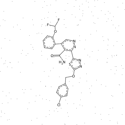 NC(=O)c1c(-c2ccccc2OC(F)F)cnnc1-c1nnc(OCc2ccc(Cl)cc2)s1